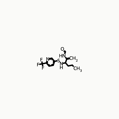 C=C(NC=O)C(CCC)NSc1ccc(C(F)(F)F)nc1